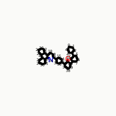 c1ccc(-c2cccc3c2oc2c(-c4ccc(-c5ccc6c7ccccc7c7ccccc7c6n5)cc4)cccc23)cc1